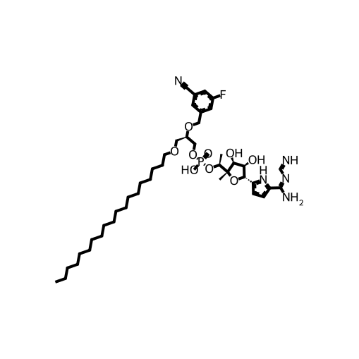 CCCCCCCCCCCCCCCCCCCOC[C@H](COP(=O)(O)O[C@@H](C)[C@@]1(C)O[C@@H](c2ccc(/C(N)=N\C=N)[nH]2)[C@H](O)[C@@H]1O)OCc1cc(F)cc(C#N)c1